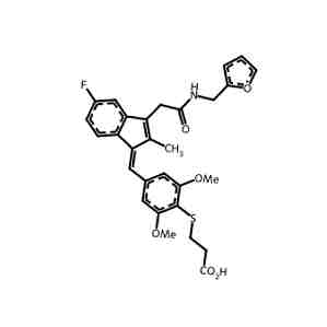 COc1cc(C=C2C(C)=C(CC(=O)NCc3ccco3)c3cc(F)ccc32)cc(OC)c1SCCC(=O)O